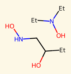 CCC(O)CNO.CCN(O)CC